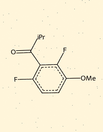 COc1ccc(F)c(C(=O)C(C)C)c1F